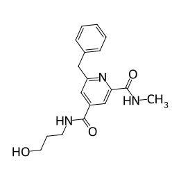 CNC(=O)c1cc(C(=O)NCCCO)cc(Cc2ccccc2)n1